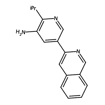 CC(C)c1ncc(-c2cc3ccccc3cn2)cc1N